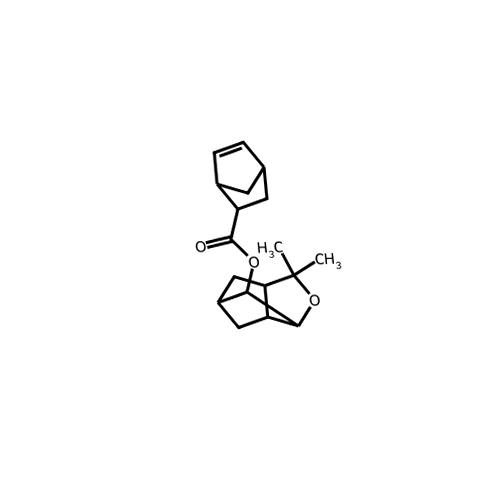 CC1(C)OC2C3CC(CC31)C2OC(=O)C1CC2C=CC1C2